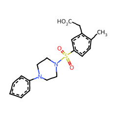 Cc1ccc(S(=O)(=O)N2CCN(c3ccccc3)CC2)cc1CC(=O)O